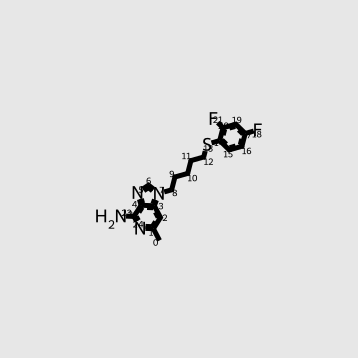 Cc1cc2c(ncn2CCCCCSc2ccc(F)cc2F)c(N)n1